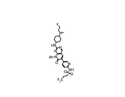 CC(C)n1c(=O)c(-c2ccc(NS(=O)(=O)CCC(F)(F)F)nc2)cc2cnc(NC3CCC(N(C)CCF)CC3)nc21